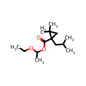 CCOC(C)OC(=O)C1(CC(C)C)CC1(C)C